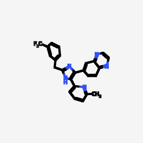 Cc1cccc(-c2[nH]c(Cc3cccc(C(F)(F)F)c3)nc2-c2ccc3nccnc3c2)n1